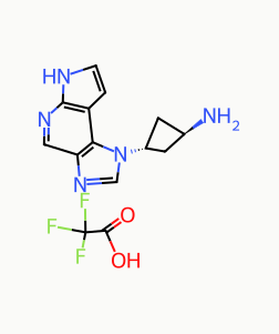 N[C@H]1C[C@H](n2cnc3cnc4[nH]ccc4c32)C1.O=C(O)C(F)(F)F